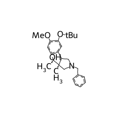 COc1ccc(C2CN(Cc3ccccc3)C[C@]2(C)[C@@H](C)O)cc1OC(C)(C)C